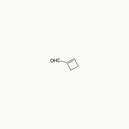 O=CC1=CCC1